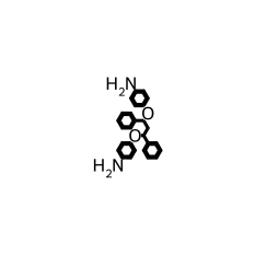 Nc1ccc(OC(CC(Oc2ccc(N)cc2)c2ccccc2)c2ccccc2)cc1